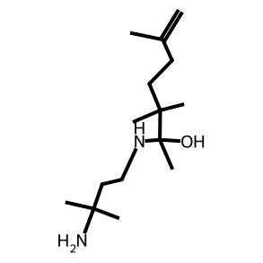 C=C(C)CCC(C)(C)C(C)(O)NCCC(C)(C)N